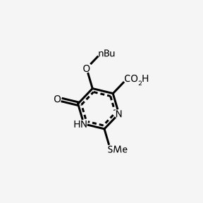 CCCCOc1c(C(=O)O)nc(SC)[nH]c1=O